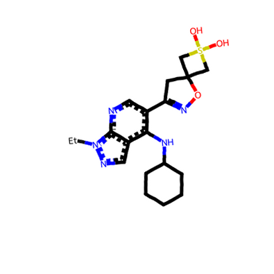 CCn1ncc2c(NC3CCCCC3)c(C3=NOC4(C3)CS(O)(O)C4)cnc21